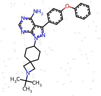 CC(C)(C)N1CC2(CCC(n3nc(-c4ccc(Oc5ccccc5)cc4)c4c(N)ncnc43)CC2)C1